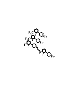 C=CCN1CCC(c2cccc(F)c2Cl)CC1.CCN1CCC(c2cccc(C(F)(F)F)c2C)CC1.CCN1CCC(c2cccc(C(F)(F)F)c2F)CC1.CCN1CCC(c2cccc(F)c2Cl)CC1